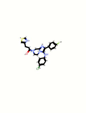 O=C(CCc1cscn1)N1CCn2c(nc(-c3ccc(F)cc3)c2Nc2ccc(Cl)cc2)C1